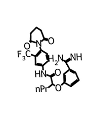 CCCC(Oc1cccc(C(=N)N)c1)C(=O)Nc1ccc(N2C(=O)CCCC2=O)c(C(F)(F)F)c1